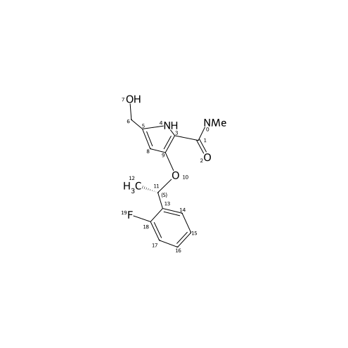 CNC(=O)c1[nH]c(CO)cc1O[C@@H](C)c1ccccc1F